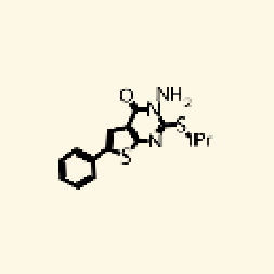 CC(C)Sc1nc2sc(-c3ccccc3)cc2c(=O)n1N